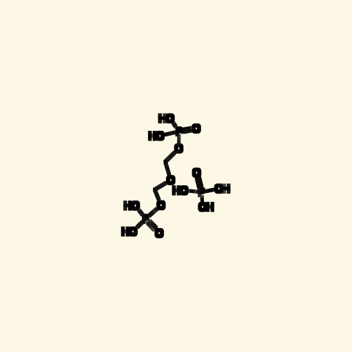 O=P(O)(O)O.O=P(O)(O)OCOCOP(=O)(O)O